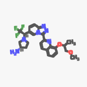 COCC(C)Oc1cccc2ccc(-c3nnc4ccc([C@@H](N5CC[C@H](N)C5)C(F)(F)F)cn34)nc12